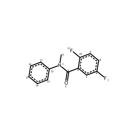 CN(C(=O)c1cc(F)ccc1F)c1ccccc1